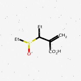 C=C(C(=O)O)C(CC)[S+]([O-])CC